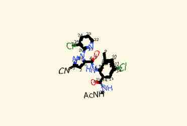 [C-]#[N+]c1cc(C(=O)Nc2c(C)cc(Cl)cc2C(=O)NNC(C)=O)n(-c2ncccc2Cl)n1